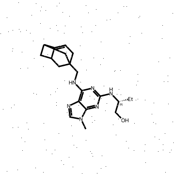 CC[C@H](CO)Nc1nc(NCC23CC=C4C(CC4C2)C3)c2ncn(C)c2n1